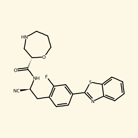 N#C[C@H](Cc1ccc(-c2nc3ccccc3s2)cc1F)NC(=O)[C@@H]1CNCCCO1